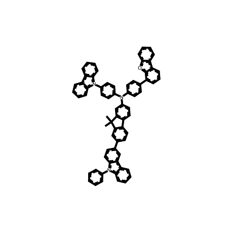 CC1(C)c2cc(-c3ccc4c(c3)c3ccccc3n4-c3ccccc3)ccc2-c2ccc(N(c3ccc(-c4cccc5c4oc4ccccc45)cc3)c3ccc(-n4c5ccccc5c5ccccc54)cc3)cc21